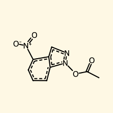 CC(=O)On1ncc2c([N+](=O)[O-])cccc21